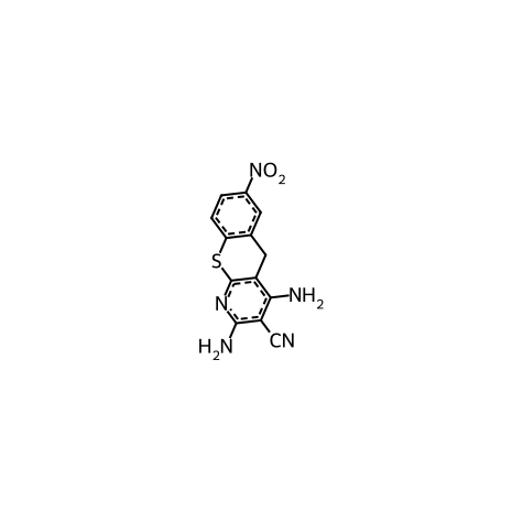 N#Cc1c(N)nc2c(c1N)Cc1cc([N+](=O)[O-])ccc1S2